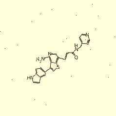 Nc1ncc(/C=C/C(=O)NCc2ccncc2)c2scc(-c3ccc4[nH]ccc4c3)c12